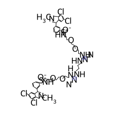 CN1Cc2c(Cl)cc(Cl)cc2C(c2cccc([S+]([O-])NCCOCCOCCN/C(=N\C#N)NCCCCN/C(=N/C#N)NCCOCCOCCN[S+]([O-])c3cccc(C4CN(C)Cc5c(Cl)cc(Cl)cc54)c3)c2)C1